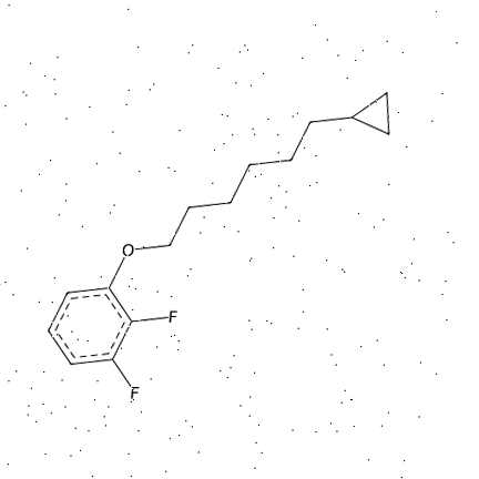 Fc1cccc(OCCCCCCC2CC2)c1F